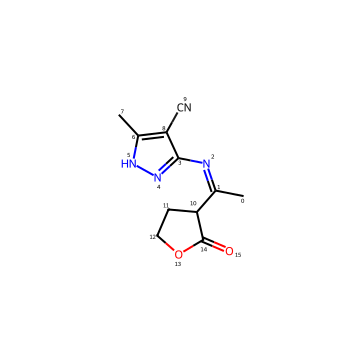 CC(=Nc1n[nH]c(C)c1C#N)C1CCOC1=O